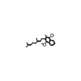 COc1c(C)c(C/C=C(\C)CCC=C(C)C)c(OC)c2ccccc12